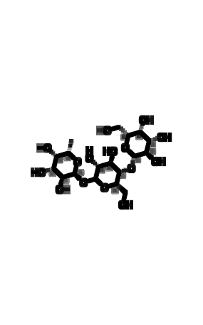 C[C@@H]1O[C@@H](OC2O[C@H](CO)[C@@H](O[C@@H]3O[C@H](CO)[C@H](O)[C@H](O)[C@H]3O)[C@H](O)[C@H]2O)[C@@H](O)[C@H](O)[C@@H]1O